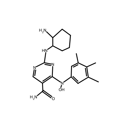 Cc1cc(N(O)c2nc(NC3CCCCC3N)ncc2C(N)=O)cc(C)c1C